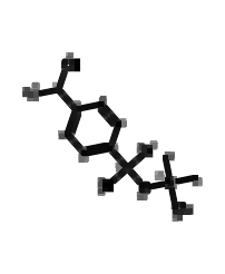 [2H]C(C#N)c1ccc(C([2H])([2H])O[Si](C)(C)C(C)(C)C)cc1